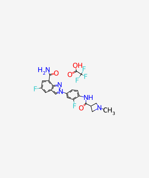 CN1CC(C(=O)Nc2ccc(-n3cc4cc(F)cc(C(N)=O)c4n3)cc2F)C1.O=C(O)C(F)(F)F